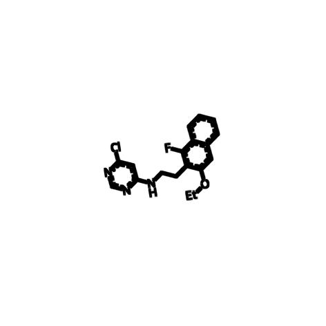 CCOc1cc2ccccc2c(F)c1CCNc1cc(Cl)ncn1